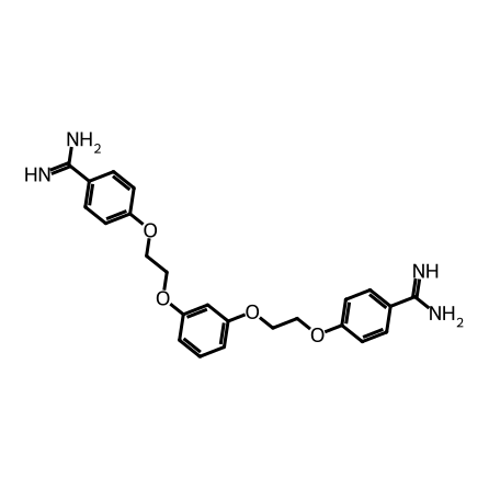 N=C(N)c1ccc(OCCOc2cccc(OCCOc3ccc(C(=N)N)cc3)c2)cc1